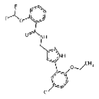 CCOc1ccc(Cl)cc1-c1cc(CNC(=O)c2ccccc2OC(F)F)n[nH]1